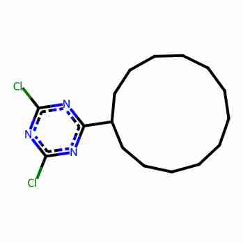 Clc1nc(Cl)nc(C2CCCCCCCCCCCC2)n1